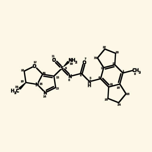 Cc1c2c(c(NC(=O)N=[S@@](N)(=O)c3cnn4c3OC[C@@H]4C)c3c1CCC3)CCC2